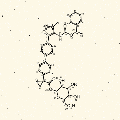 Cc1noc(-c2ccc(-c3ccc(C4(C(=O)OC5OC(C(=O)O)C(O)C(O)C5O)CC4)cc3)cc2)c1NC(=O)O[C@H](C)c1ccccc1